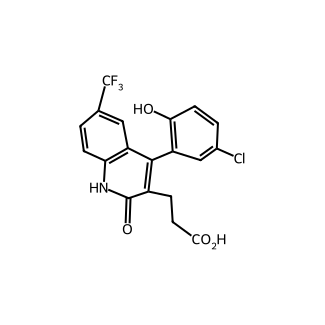 O=C(O)CCc1c(-c2cc(Cl)ccc2O)c2cc(C(F)(F)F)ccc2[nH]c1=O